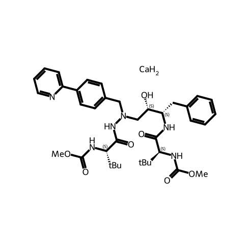 COC(=O)N[C@H](C(=O)N[C@@H](Cc1ccccc1)[C@@H](O)CN(Cc1ccc(-c2ccccn2)cc1)NC(=O)[C@@H](NC(=O)OC)C(C)(C)C)C(C)(C)C.[CaH2]